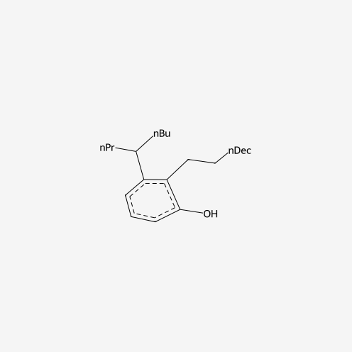 CCCCCCCCCCCCc1c(O)cccc1C(CCC)CCCC